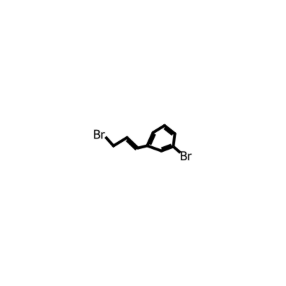 BrC/C=C/c1cccc(Br)c1